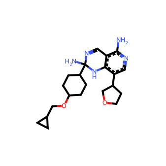 Nc1ncc(C2CCOC2)c2c1C=NC(N)(C1CCC(OCC3CC3)CC1)N2